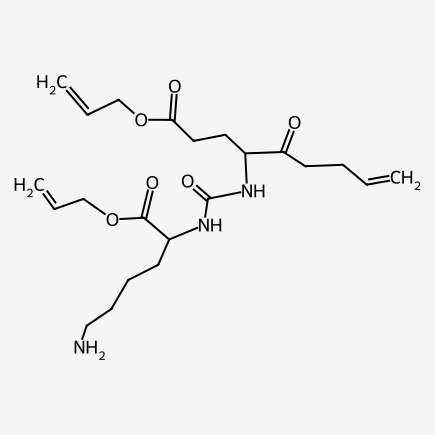 C=CCCC(=O)C(CCC(=O)OCC=C)NC(=O)NC(CCCCN)C(=O)OCC=C